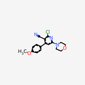 COc1ccc(-c2cc(N3CCOCC3)nc(Cl)c2C#N)cc1